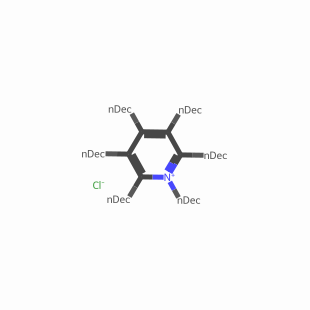 CCCCCCCCCCc1c(CCCCCCCCCC)c(CCCCCCCCCC)[n+](CCCCCCCCCC)c(CCCCCCCCCC)c1CCCCCCCCCC.[Cl-]